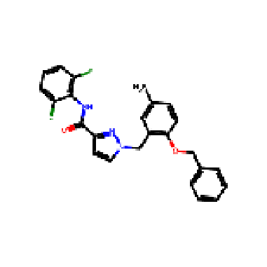 Bc1ccc(OCc2ccccc2)c(Cn2ccc(C(=O)Nc3c(F)cccc3F)n2)c1